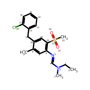 CCN(C)C=Nc1cc(C)c(Cc2ccccc2Cl)cc1S(C)(=O)=O